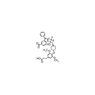 COc1cc(CCC(=O)O)cc(OC)c1OC1CCN(CC(O)(c2cn(-c3ccccc3)c3cc([N+](=O)[O-])ccc23)C(F)(F)F)CC1